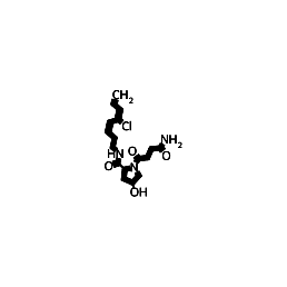 C=C/C=C(Cl)\C=C/CCNC(=O)[C@@H]1C[C@@H](O)CN1C(=O)CCC(N)=O